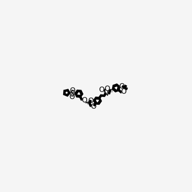 CC1(C)OCc2cc([C@@H]3CN(CCc4ccc5c(c4)O[C@H](COCc4cccc(S(=O)(=O)C6CCCC6)c4)CO5)C(=O)O3)ccc2O1